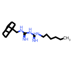 CCCCCCNC(=N)NC(=N)NCC12C3C4C5C3C1C5C42